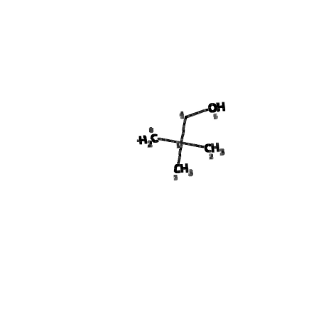 [CH2]C(C)(C)[CH]O